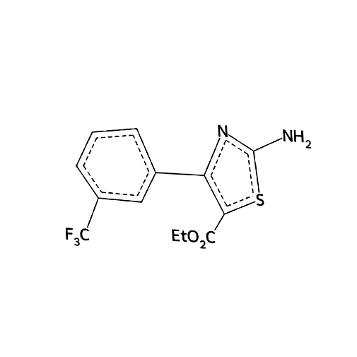 CCOC(=O)c1sc(N)nc1-c1cccc(C(F)(F)F)c1